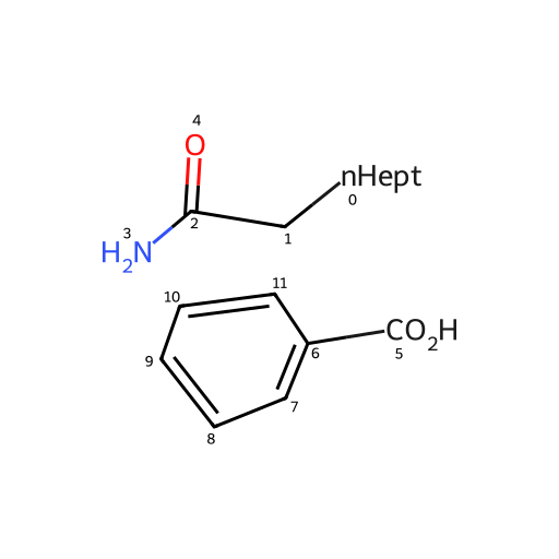 CCCCCCCCC(N)=O.O=C(O)c1ccccc1